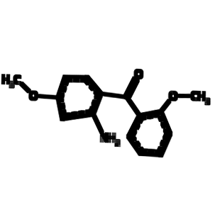 COc1ccc(C(=O)c2ccccc2OC)c(N)c1